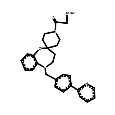 CC(=O)NCC(=O)N1CCC2(CC1)CCN(Cc1ccc(-c3ccccn3)cc1)c1ccccc1O2